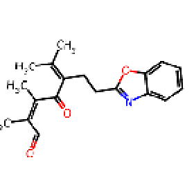 CC(C)=C(CCc1nc2ccccc2o1)C(=O)/C(C)=C(/C)C=O